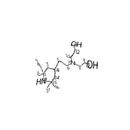 CC1(C)CC(CCN(CCO)CCO)CC(C)(C)N1